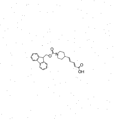 O=C(O)C=CC=CC1CCN(C(=O)OCC2c3ccccc3-c3ccccc32)CC1